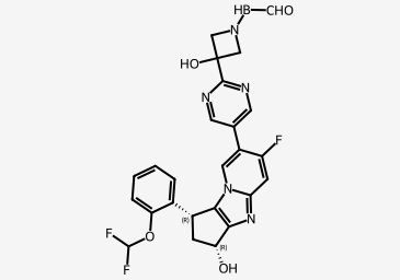 O=CBN1CC(O)(c2ncc(-c3cn4c5c(nc4cc3F)[C@H](O)C[C@@H]5c3ccccc3OC(F)F)cn2)C1